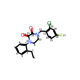 CCc1ccccc1N1CCN(Cc2ccc(F)cc2Cl)C(=O)C1=O